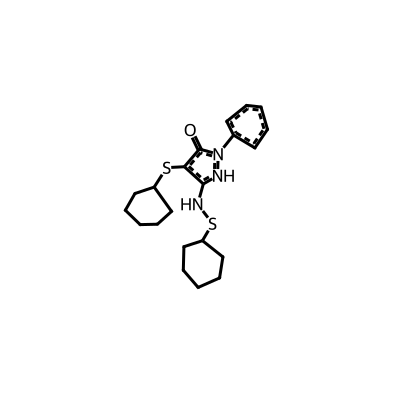 O=c1c(SC2CCCCC2)c(NSC2CCCCC2)[nH]n1-c1ccccc1